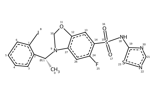 C[C@H](c1ccccc1I)N1COc2cc(S(=O)(=O)Nc3ncns3)c(F)cc21